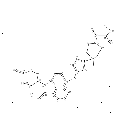 CC1(n2cc(Cc3ccc4c5c(cccc35)C(=O)N4C3CCC(=O)NC3=O)nn2)CCN(C(=O)C2(C(F)(F)F)CC2)CC1